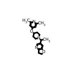 Cc1cc(OC2CCN(C(C)c3cnc4c(c3)OCC4)CC2)cc(C)n1